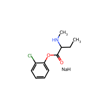 CCC(NC)C(=O)Oc1ccccc1Cl.[NaH]